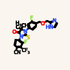 CC1(C)C(=O)N(c2ccc(C#N)c(C(F)(F)F)c2F)C(=S)N1c1ccc(COCc2ncc[nH]2)c(F)c1